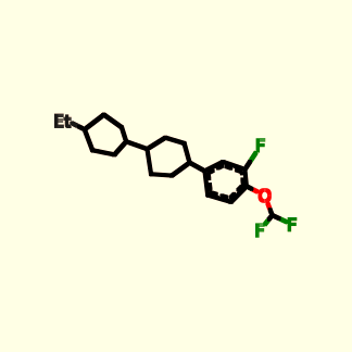 CCC1CCC(C2CCC(c3ccc(OC(F)F)c(F)c3)CC2)CC1